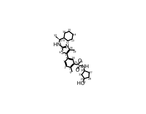 Cc1ccc(-c2sc(N[C@@H](C)C3CCCCC3)nc2C)cc1S(=O)(=O)NC1CCC(O)C1